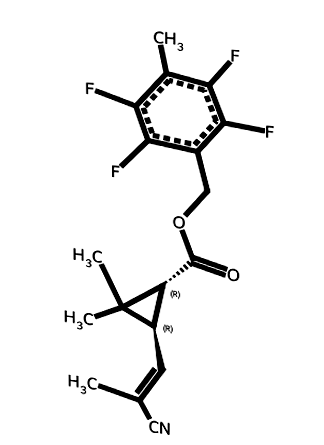 CC(C#N)=C[C@@H]1[C@@H](C(=O)OCc2c(F)c(F)c(C)c(F)c2F)C1(C)C